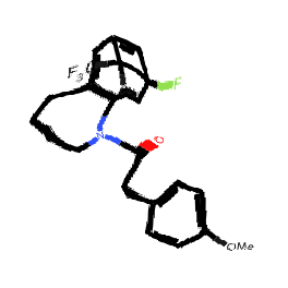 COc1ccc(CC(=O)N2CCCCC3=CC4=CC(F)(C=C32)C4(OC)C(F)(F)F)cc1